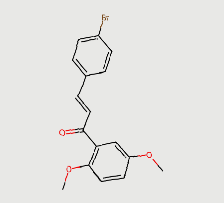 COc1ccc(OC)c(C(=O)C=Cc2ccc(Br)cc2)c1